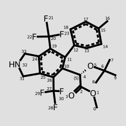 COC(=O)[C@@H](OC(C)(C)C)c1c(-c2ccc(C)cc2)c(C(F)(F)F)c2c(c1C(F)(F)F)CNC2